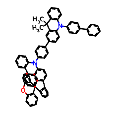 CC1(C)c2ccccc2N(c2ccc(-c3ccccc3)cc2)c2ccc(-c3ccc(N(c4ccc5c(c4)C4(c6ccccc6Oc6ccccc64)c4ccccc4-5)c4ccccc4-c4ccccc4)cc3)cc21